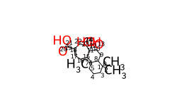 CC1(C)CCC[C@@]2(C)C1CC[C@]1(C(=O)O)C2CC=C(C(=O)O)C[C@H]1O